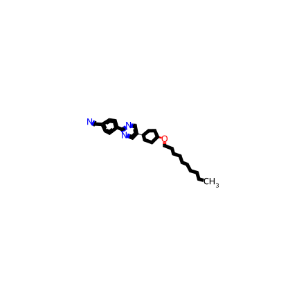 CCCCCCCCCCO[C@H]1CC[C@H](c2cnc(-c3ccc(C#N)cc3)nc2)CC1